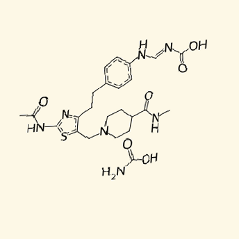 CNC(=O)C1CCN(Cc2sc(NC(C)=O)nc2CCc2ccc(NC=NC(=O)O)cc2)CC1.NC(=O)O